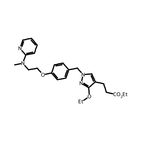 CCOC(=O)CCc1cn(Cc2ccc(OCCN(C)c3ccccn3)cc2)nc1OCC